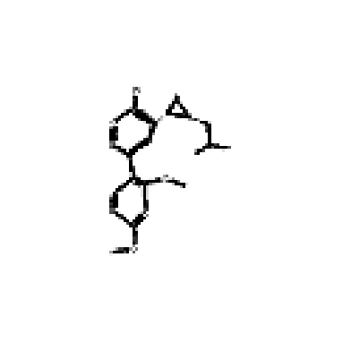 COc1ncc(-c2cc([C@@H]3C[C@H]3CC(F)F)c(Cl)nn2)c(OC)n1